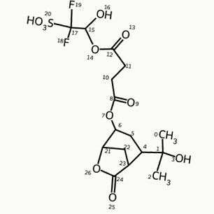 CC(C)(O)C1CC(OC(=O)CCC(=O)OC(O)C(F)(F)S(=O)(=O)O)C2CC1C(=O)O2